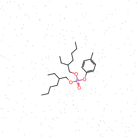 CCCCC(CC)COP(=O)(OCC(CC)CCCC)Oc1ccc(C)cc1